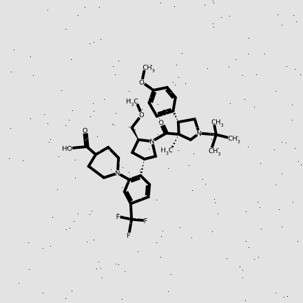 COC[C@@H]1C[C@@H](c2ccc(C(F)(F)F)cc2N2CCC(C(=O)O)CC2)CN1C(=O)[C@]1(C)CN(C(C)(C)C)C[C@H]1c1ccc(OC)cc1